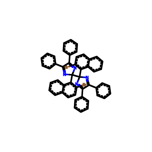 Brc1ccc2ccccc2c1C1(C2(c3c(Br)ccc4ccccc34)N=C(c3ccccc3)C(c3ccccc3)=N2)N=C(c2ccccc2)C(c2ccccc2)=N1